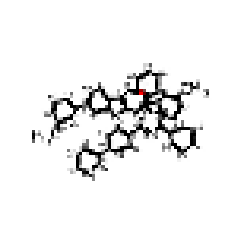 Cc1cccc(-c2ccc3c4ccc(-c5cccc(C)c5)cc4n(-c4cc(-c5cccnc5)ccc4-c4nc(-c5ccccc5)nc(-c5ccccc5)n4)c3c2)c1